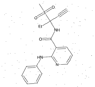 C#CC(CC)(NC(=O)c1cccnc1Nc1ccccc1)S(C)(=O)=O